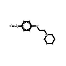 [Br][Mg][c]1ccc(OCCN2CCCCC2)cc1